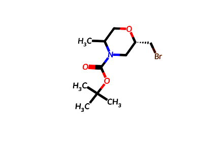 CC1CO[C@H](CBr)CN1C(=O)OC(C)(C)C